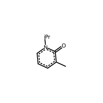 Cc1cccn(C(C)C)c1=O